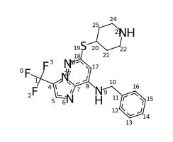 FC(F)(F)c1cnc2c(NCc3ccccc3)cc(SC3CCNCC3)nn12